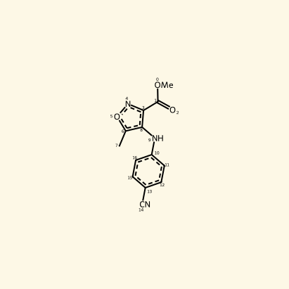 COC(=O)c1noc(C)c1Nc1ccc(C#N)cc1